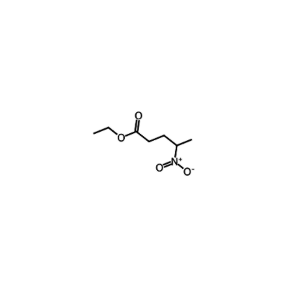 CCOC(=O)CCC(C)[N+](=O)[O-]